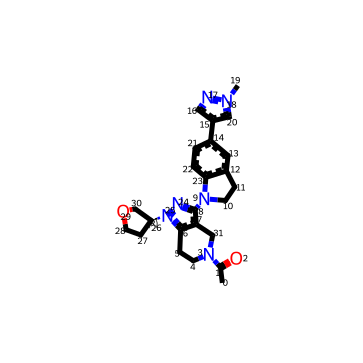 CC(=O)N1CCc2c(c(N3CCc4cc(-c5cnn(C)c5)ccc43)nn2[C@@H]2CCOC2)C1